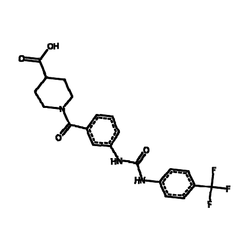 O=C(Nc1ccc(C(F)(F)F)cc1)Nc1cccc(C(=O)N2CCC(C(=O)O)CC2)c1